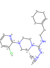 [C-]#[N+]/N=C(/NCCC1=CCCCC1)N1CCN(c2ncccc2Cl)C[C@H]1C